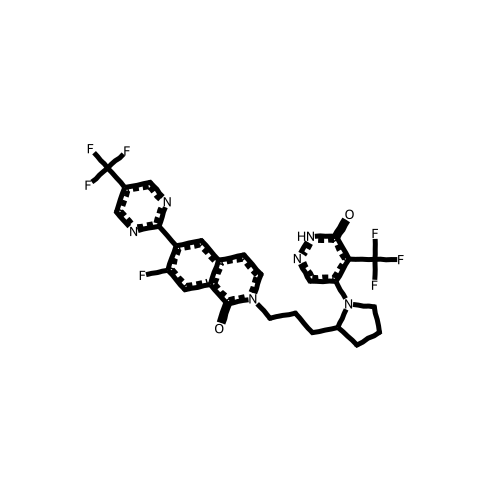 O=c1[nH]ncc(N2CCCC2CCCn2ccc3cc(-c4ncc(C(F)(F)F)cn4)c(F)cc3c2=O)c1C(F)(F)F